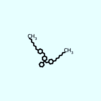 CCCCCCCCC1CCC(CC2CCC(CC3CCC(CCCCCCCC)CC3)(C3CCCCC3)CC2)CC1